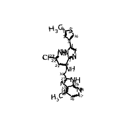 Cc1cc(-c2cnc3c(NCc4nc5c(C)ccnc5[nH]4)cc(Cl)nn23)cs1